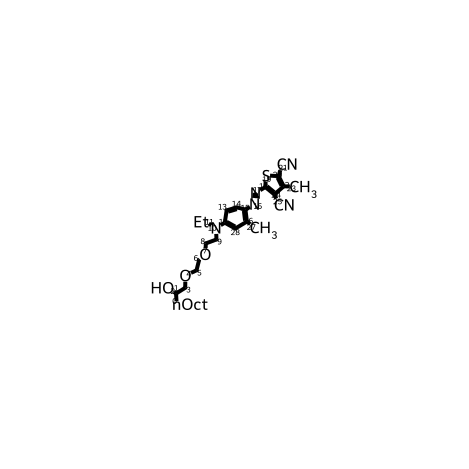 CCCCCCCCC(O)COCCOCCN(CC)c1ccc(/N=N/c2sc(C#N)c(C)c2C#N)c(C)c1